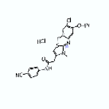 CC(C)Oc1cc(/N=c2\scc(CC(=O)Nc3ccc(C#N)cc3)n2C)c(F)cc1Cl.Cl